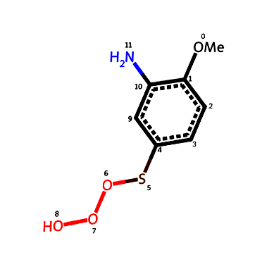 COc1ccc(SOOO)cc1N